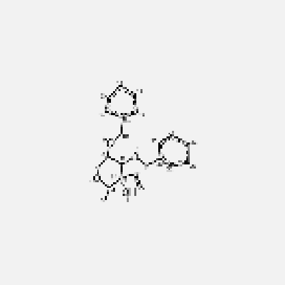 C=C[C@@]1(O)C(C)OCC(OCc2ccccc2)C1OCc1ccccc1